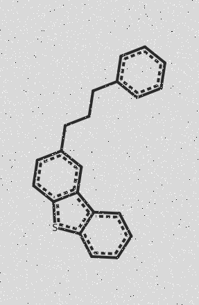 c1ccc(CCCc2ccc3sc4ccccc4c3c2)cc1